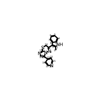 Cc1[nH]c2ccccc2c1C1=Nn2c(nnc2-c2ccncc2)SC1